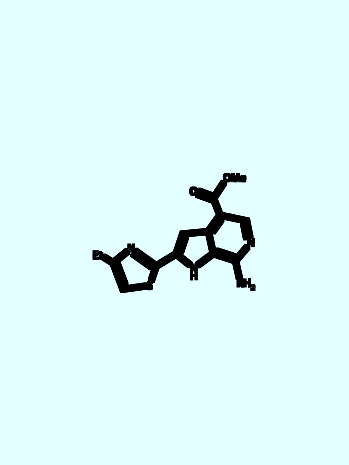 CCc1csc(-c2cc3c(C(=O)OC)cnc(N)c3[nH]2)n1